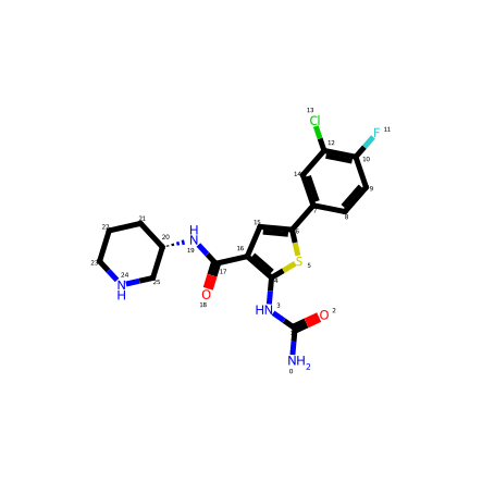 NC(=O)Nc1sc(-c2ccc(F)c(Cl)c2)cc1C(=O)N[C@H]1CCCNC1